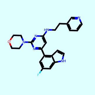 Fc1cc(-c2cc(NCCc3cccnc3)nc(N3CCOCC3)n2)c2cc[nH]c2c1